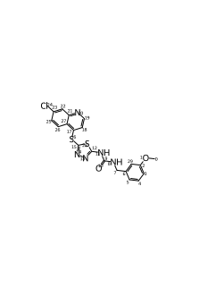 COc1cccc(CNC(=O)Nc2nnc(Sc3ccnc4cc(Cl)ccc34)s2)c1